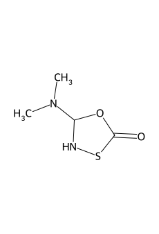 CN(C)C1NSC(=O)O1